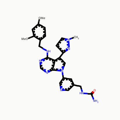 COc1ccc(CNc2ncnc3c2c(-c2ccn(C)n2)cn3-c2cncc(CNC(N)=O)c2)c(OC)c1